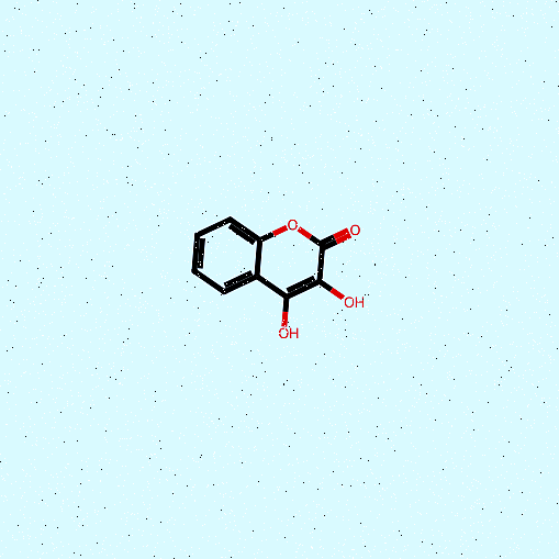 O=c1oc2ccccc2c(O)c1O